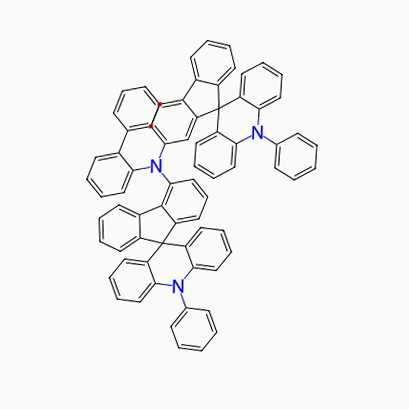 c1ccc(-c2ccccc2N(c2ccc3c(c2)C2(c4ccccc4-3)c3ccccc3N(c3ccccc3)c3ccccc32)c2cccc3c2-c2ccccc2C32c3ccccc3N(c3ccccc3)c3ccccc32)cc1